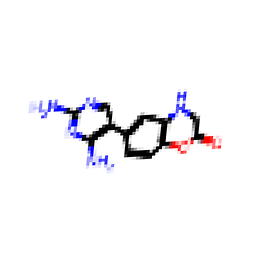 Nc1ncc(-c2ccc3c(c2)NCC(=O)O3)c(N)n1